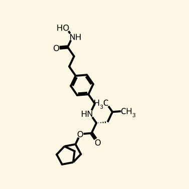 CC(C)C[C@@H](NCc1ccc(CCC(=O)NO)cc1)C(=O)OC1CC2CCC1C2